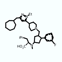 CCn1nc(CC2CCCCCC2)cc1C1CCN(CC2CC(N(C)[C@H](CC(C)C)C(=O)O)CC2c2cccc(F)c2)CC1